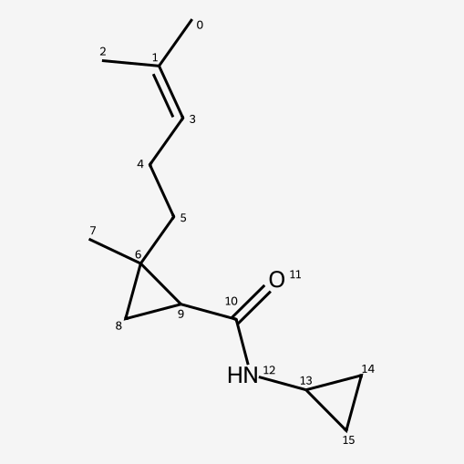 CC(C)=CCCC1(C)CC1C(=O)NC1CC1